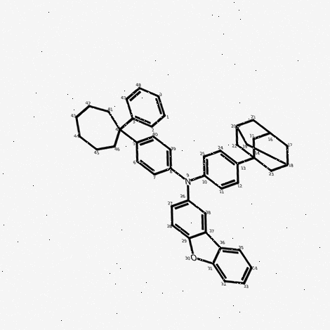 c1ccc(C2(c3ccc(N(c4ccc(C56CC7CC(CC(C7)C5)C6)cc4)c4ccc5oc6ccccc6c5c4)cc3)CCCCCC2)cc1